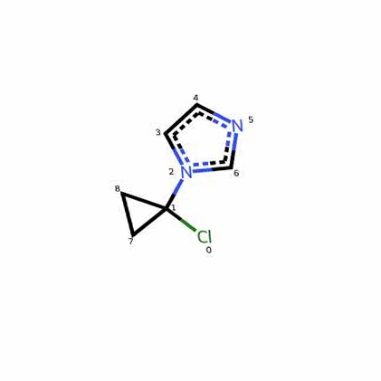 ClC1(n2ccnc2)CC1